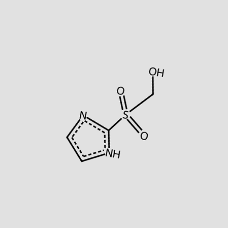 O=S(=O)(CO)c1ncc[nH]1